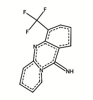 N=c1c2cccc(C(F)(F)F)c2nc2ccccn12